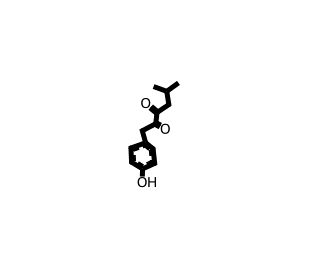 CC(C)CC(=O)C(=O)Cc1ccc(O)cc1